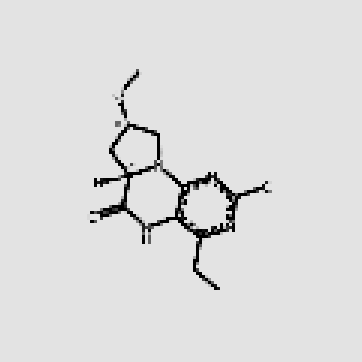 CCc1nc(Cl)nc2c1NC(=O)[C@@H]1C[C@@H](OC)CN21